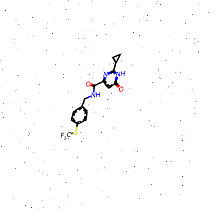 O=C(NCc1ccc(SC(F)(F)F)cc1)c1cc(=O)[nH]c(C2CC2)n1